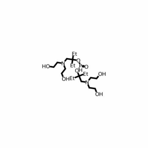 CCC(CC)(CN(CCO)CCO)O[PH](=O)OC(CC)(CC)CN(CCO)CCO